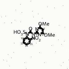 COc1cc(OC)nc(NC(=O)N(c2ccccc2[N+](=O)[O-])S(=O)(=O)O)n1